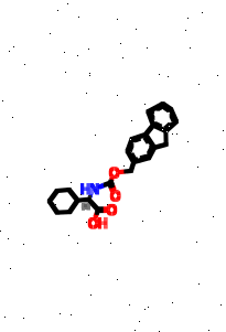 O=C(N[C@H](C(=O)O)C1CCCCC1)OCc1ccc2c(c1)Cc1ccccc1-2